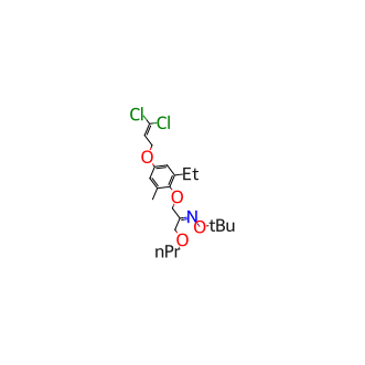 CCCOCC(COc1c(C)cc(OCC=C(Cl)Cl)cc1CC)=NOC(C)(C)C